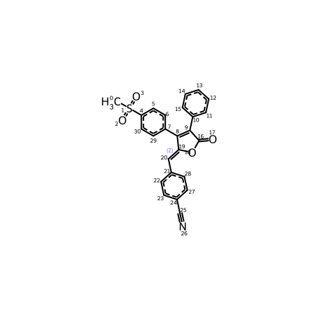 CS(=O)(=O)c1ccc(C2=C(c3ccccc3)C(=O)O/C2=C\c2ccc(C#N)cc2)cc1